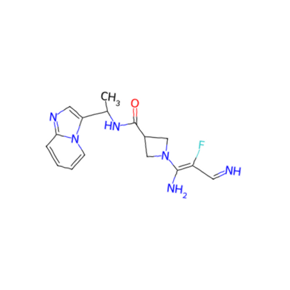 CC(NC(=O)C1CN(/C(N)=C(\F)C=N)C1)c1cnc2ccccn12